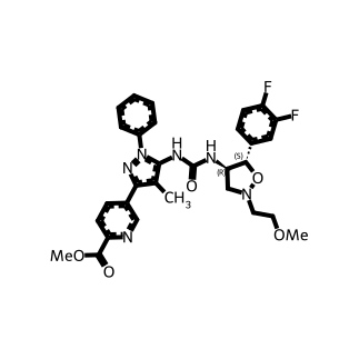 COCCN1C[C@@H](NC(=O)Nc2c(C)c(-c3ccc(C(=O)OC)nc3)nn2-c2ccccc2)[C@H](c2ccc(F)c(F)c2)O1